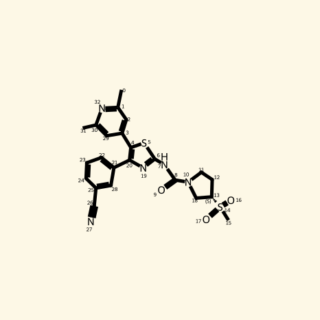 Cc1cc(-c2sc(NC(=O)N3CC[C@H](S(C)(=O)=O)C3)nc2-c2cccc(C#N)c2)cc(C)n1